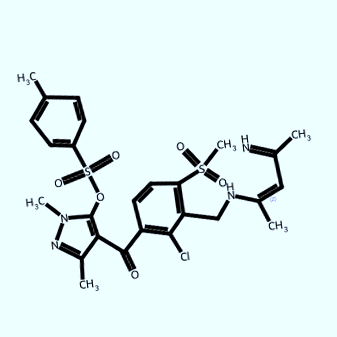 CC(=N)/C=C(/C)NCc1c(S(C)(=O)=O)ccc(C(=O)c2c(C)nn(C)c2OS(=O)(=O)c2ccc(C)cc2)c1Cl